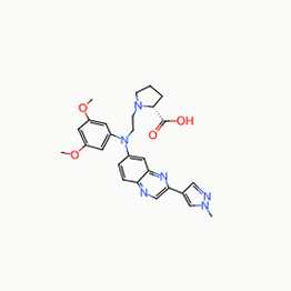 COc1cc(OC)cc(N(CCN2CCC[C@@H]2C(=O)O)c2ccc3ncc(-c4cnn(C)c4)nc3c2)c1